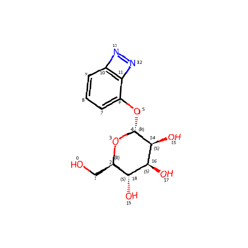 OC[C@H]1O[C@H](Oc2cccc3c2N=N3)[C@@H](O)[C@@H](O)[C@@H]1O